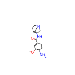 COc1cc(C(=O)NC2CN3CCC2CC3)ccc1N